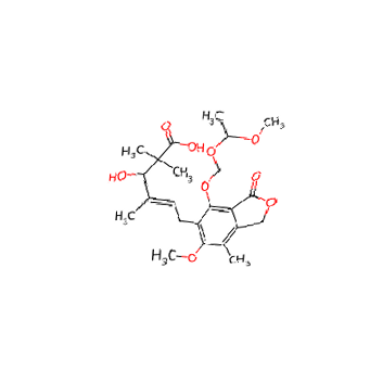 COc1c(C)c2c(c(OCOC(C)OC)c1C/C=C(\C)C(O)C(C)(C)C(=O)O)C(=O)OC2